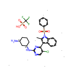 Cc1c(-c2nc(N[C@@H]3CCC[C@H](N)C3)ncc2Cl)c2ccccc2n1S(=O)(=O)c1ccccc1.O=S(=O)(O)C(F)(F)F